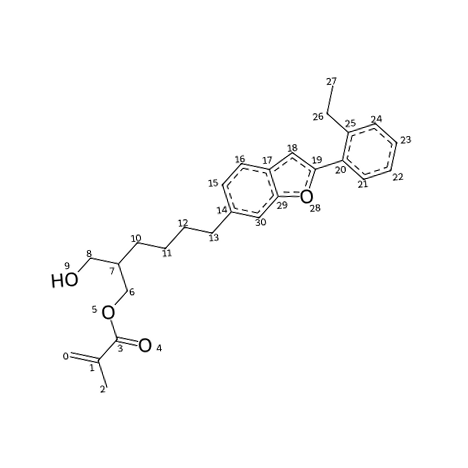 C=C(C)C(=O)OCC(CO)CCCCc1ccc2cc(-c3ccccc3CC)oc2c1